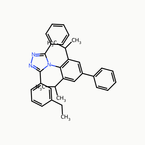 CCc1cccc(-c2nnc(-c3ccccc3)n2-c2c(C(C)C)cc(-c3ccccc3)cc2C(C)C)c1